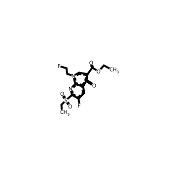 CCOC(=O)c1cn(CCF)c2nc(S(=O)(=O)CC)c(F)cc2c1=O